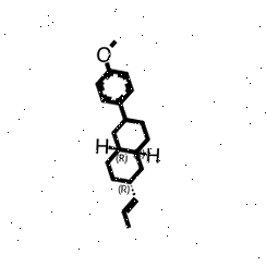 CC=C[C@@H]1CC[C@@H]2CC(c3ccc(OC)cc3)CC[C@@H]2C1